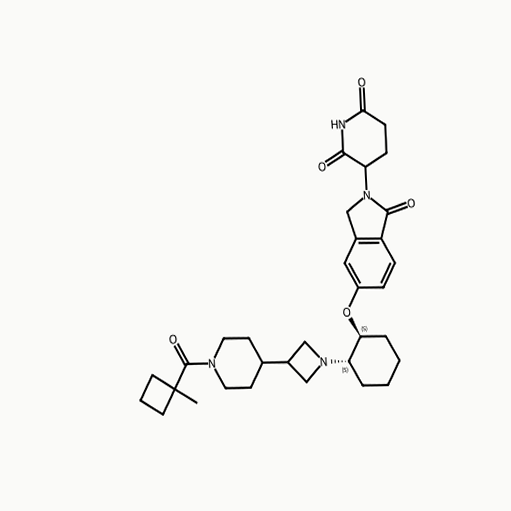 CC1(C(=O)N2CCC(C3CN([C@H]4CCCC[C@@H]4Oc4ccc5c(c4)CN(C4CCC(=O)NC4=O)C5=O)C3)CC2)CCC1